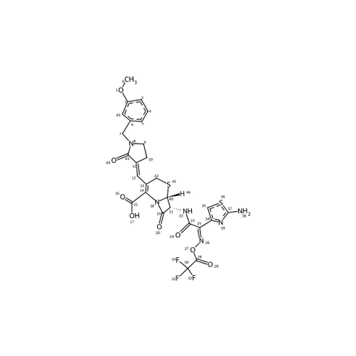 COc1cccc(CN2CC/C(=C\C3=C(C(=O)O)N4C(=O)[C@@H](NC(=O)/C(=N\OC(=O)C(F)(F)F)c5csc(N)n5)[C@H]4SC3)C2=O)c1